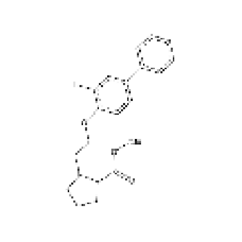 CC(C)(C)OC(=O)C1CCCN1CCOc1ccc(-c2ccccc2)cc1I